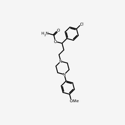 COc1ccc(N2CCN(CCC(OC(N)=O)c3ccc(Cl)cc3)CC2)cc1